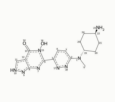 CN(c1ccc(-c2nc3n[nH]cc3c(=O)n2O)nn1)[C@H]1CC[C@H](N)CC1